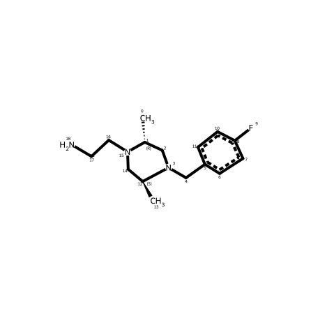 C[C@@H]1CN(Cc2ccc(F)cc2)[C@@H](C)CN1[CH][CH]N